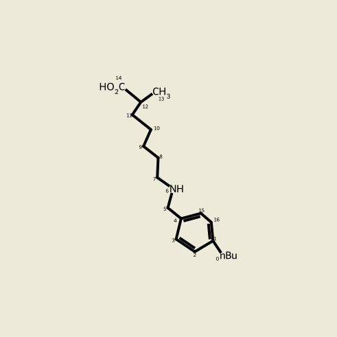 CCCCc1ccc(CNCCCCCC(C)C(=O)O)cc1